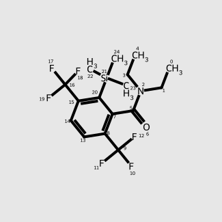 CCN(CC)C(=O)c1c(C(F)(F)F)ccc(C(F)(F)F)c1[Si](C)(C)C